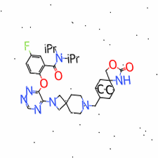 CC(C)N(C(=O)c1cc(F)ccc1Oc1nncnc1N1CC2(CCN(CC3CC4CCC3CC43COC(=O)N3)CC2)C1)C(C)C